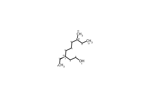 CC[C@H](CCO)CCCN(C)CC